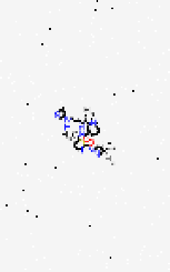 Cc1cnc(NC(=O)C2=CCCC=C(C(C)NC(=O)/C3=C/C(C(C)CCCCNc4cccnc4)=N\C=C\CCC3)S2)cc1C(F)(F)F